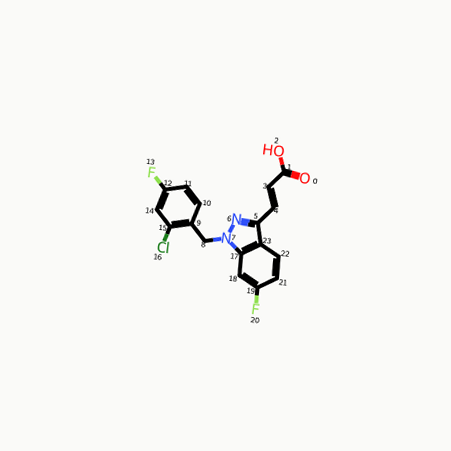 O=C(O)C=Cc1nn(Cc2ccc(F)cc2Cl)c2cc(F)ccc12